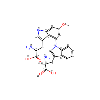 COc1cc(-n2cc(CC(C)(N)C(=O)O)c3ccccc32)c2c(CC(N)C(=O)O)c[nH]c2c1